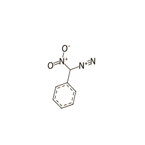 N#[N+]C(c1ccccc1)[N+](=O)[O-]